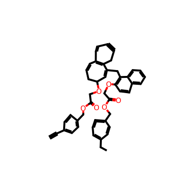 C#Cc1ccc(COC(=O)COC2C=C(Cc3c(OCC(=O)OCC4=C=CC=C(CC)C=C4)ccc4ccccc34)C3=C(C=CC#CC3)/C=C\C2)cc1